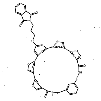 O=C1NCc2cccc(c2)CNC(=O)c2coc(n2)-c2coc(n2)-c2cc(OCCCN3C(=O)c4ccccc4C3=O)cc(n2)-c2nc(co2)-c2nc1co2